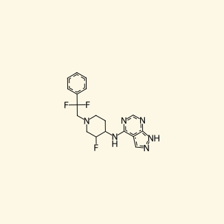 FC1CN(CC(F)(F)c2ccccc2)CCC1Nc1ncnc2[nH]ncc12